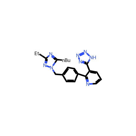 CCCCc1nc(CC)nn1Cc1ccc(-c2ncccc2-c2nnn[nH]2)cc1